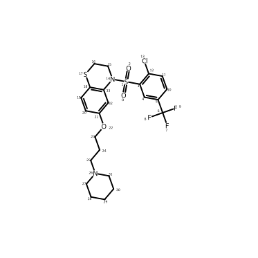 O=S(=O)(c1cc(C(F)(F)F)ccc1Cl)N1CCSc2ccc(OCCCN3CCCCC3)cc21